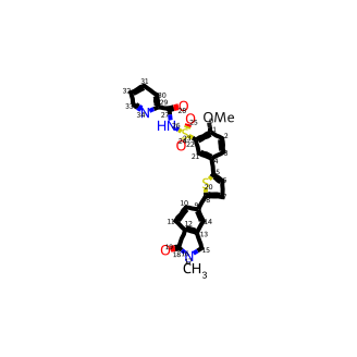 COc1ccc(-c2ccc(-c3ccc4c(c3)CN(C)C4=O)s2)cc1S(=O)(=O)NC(=O)c1ccccn1